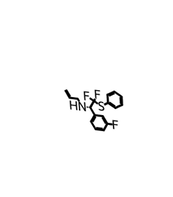 C=CCN[C@@H](c1cccc(F)c1)C(F)(F)Sc1ccccc1